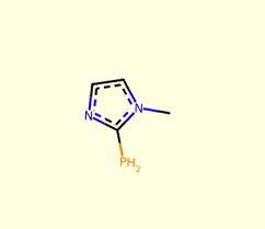 Cn1ccnc1P